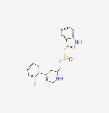 [O-][S+](CCC1CC(c2ccccc2F)=CCN1)Cc1c[nH]c2ccccc12